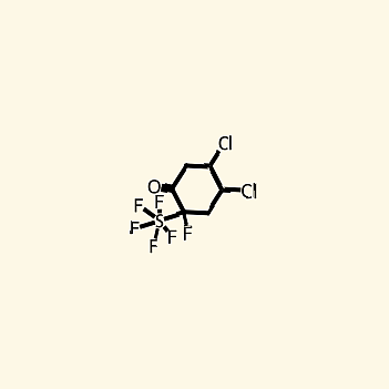 O=C1CC(Cl)C(Cl)CC1(F)S(F)(F)(F)(F)F